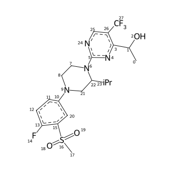 CC(O)c1nc(N2CCN(c3ccc(F)c(S(C)(=O)=O)c3)CC2C(C)C)ncc1C(F)(F)F